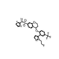 O=S(=O)(Nc1nccs1)c1ccc2c(c1)OCCC2Oc1ccc(C(F)(F)F)cc1-c1ccnn1CCF